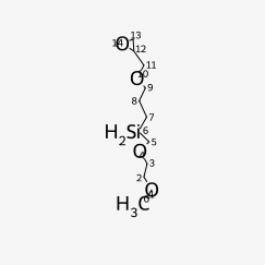 COCCOC[SiH2]CCCOCC1CO1